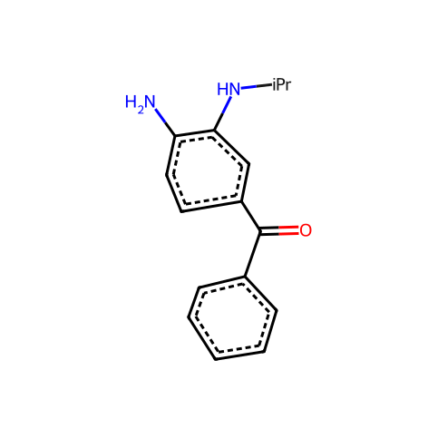 CC(C)Nc1cc(C(=O)c2ccccc2)ccc1N